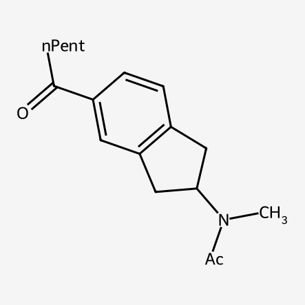 CCCCCC(=O)c1ccc2c(c1)CC(N(C)C(C)=O)C2